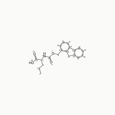 CSCC(NC(=O)OCc1cccc2c1Cc1ccccc1-2)C(=O)O